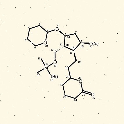 CC(=O)O[C@@H]1C[C@H](OC2CCCCO2)[C@@H](CO[Si](C)(C)C(C)(C)C)[C@@H]1CCC1CCCC(=O)O1